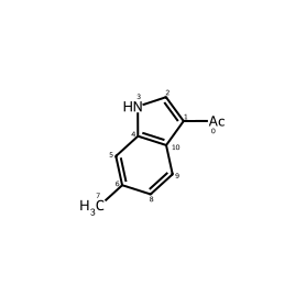 CC(=O)c1c[nH]c2cc(C)ccc12